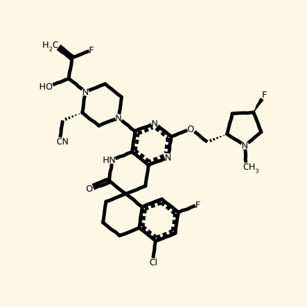 C=C(F)C(O)N1CCN(c2nc(OC[C@@H]3C[C@@H](F)CN3C)nc3c2NC(=O)C2(CCCc4c(Cl)cc(F)cc42)C3)C[C@@H]1CC#N